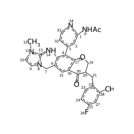 CC(=O)Nc1cc(-c2cc(Cn3ccn(C)c3=N)cc3c2OCC(Cc2ccc(F)cc2Cl)C3=O)ccn1